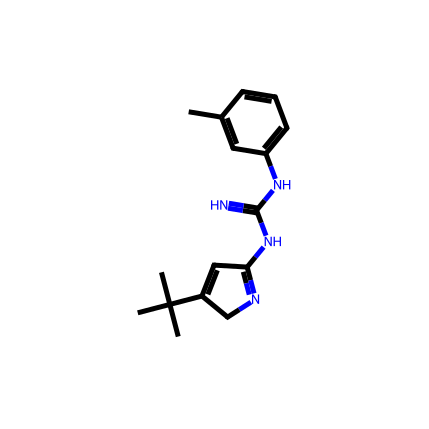 Cc1cccc(NC(=N)NC2=NCC(C(C)(C)C)=C2)c1